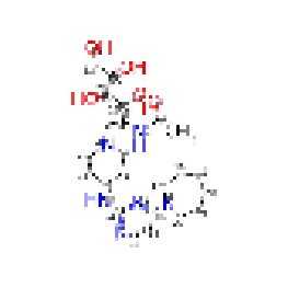 CC(=O)N[C@@H](CN1CCC(Nc2nccc(N3CCCCCC3)n2)CC1)[C@@H](O)[C@@H](O)[C@H](O)CO